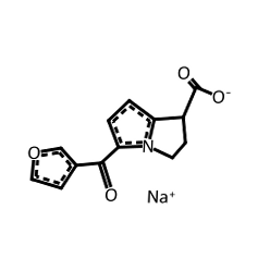 O=C(c1ccoc1)c1ccc2n1CCC2C(=O)[O-].[Na+]